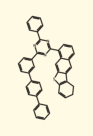 C1=Cc2sc3cc4c(-c5nc(-c6ccccc6)nc(-c6cccc(-c7ccc(-c8ccccc8)cc7)c6)n5)cccc4cc3c2CC1